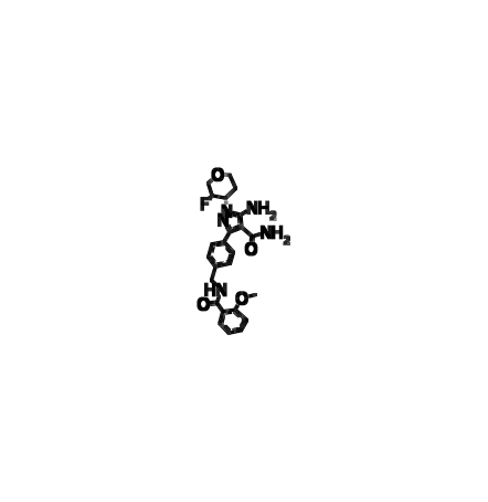 COc1ccccc1C(=O)NCc1ccc(-c2nn([C@H]3CCOC[C@@H]3F)c(N)c2C(N)=O)cc1